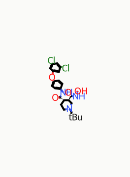 CC(C)(C)CN1CC[C@H](C(=O)Nc2ccc(Oc3cc(Cl)cc(Cl)c3)cc2)[C@@H](C(=O)NO)C1